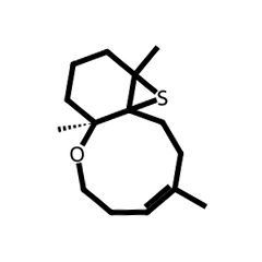 C/C1=C/CCO[C@@]2(C)CCCC3(C)SC32CC1